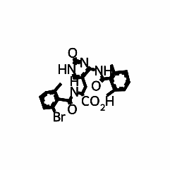 Cc1cccc(C)c1C(=O)Nc1nc(=O)[nH]cc1CC(NC(=O)c1c(C)cccc1Br)C(=O)O